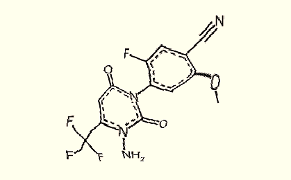 COc1cc(-n2c(=O)cc(C(F)(F)F)n(N)c2=O)c(F)cc1C#N